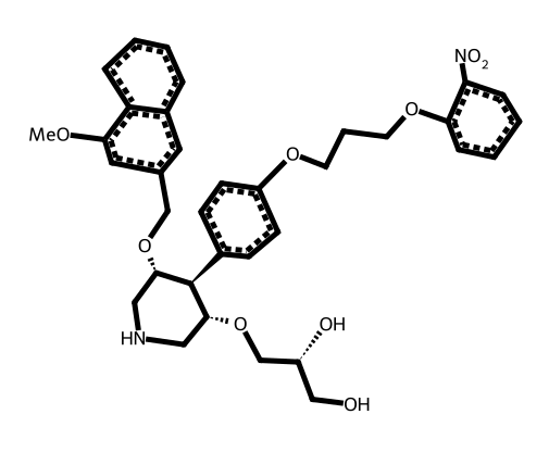 COc1cc(CO[C@H]2CNC[C@@H](OC[C@H](O)CO)[C@@H]2c2ccc(OCCCOc3ccccc3[N+](=O)[O-])cc2)cc2ccccc12